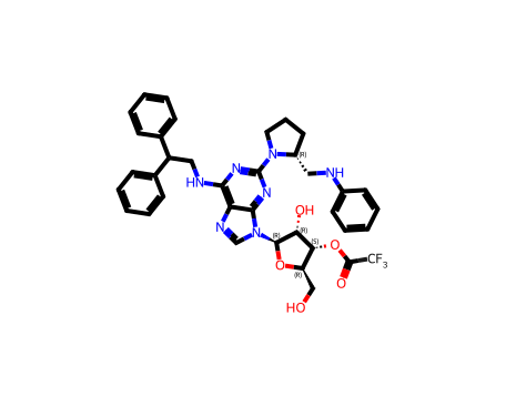 O=C(O[C@H]1[C@@H](O)[C@H](n2cnc3c(NCC(c4ccccc4)c4ccccc4)nc(N4CCC[C@@H]4CNc4ccccc4)nc32)O[C@@H]1CO)C(F)(F)F